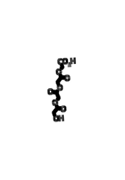 O=C(O)COC(=O)COC(=O)COC(=O)CO